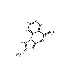 Cc1cc2oc(=N)c3ccccc3n2n1